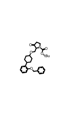 CC(C)(C)OC(=O)N1CCC(=O)C1COC1CCC(c2ccccc2OCc2ccccc2)CC1